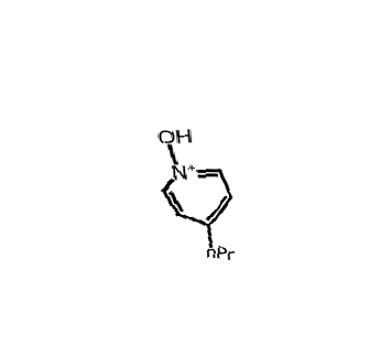 CCCc1cc[n+](O)cc1